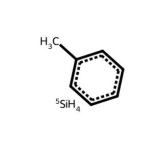 Cc1ccccc1.[5SiH4]